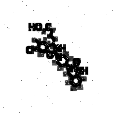 Cc1cc(C(CCCC(=O)O)NC(=O)N2CCC(N3Cc4ccccc4NC3=O)CC2)ccc1Cl